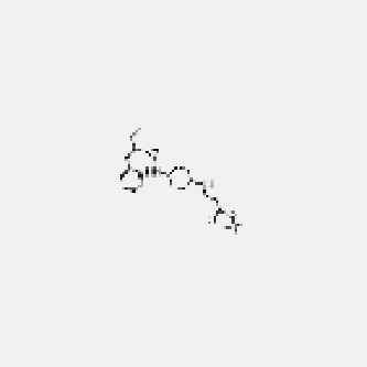 CCC(=Cc1ccccc1)C1C[C@@H]1NC1CCC(NCCC(=O)OC(C)(C)C)CC1